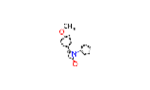 COc1ccc([C@@H]2CC(=O)N2c2ccccc2)cc1